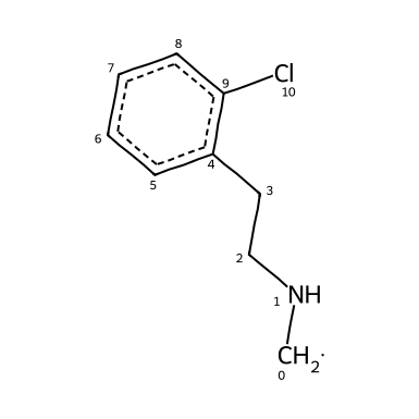 [CH2]NCCc1ccccc1Cl